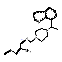 C=N/C=C(N)\C=N/CN1CCN(C(C)c2cccc3cccnc23)CC1